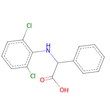 O=C(O)C(Nc1c(Cl)cccc1Cl)c1ccccc1